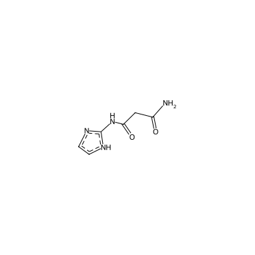 NC(=O)CC(=O)Nc1ncc[nH]1